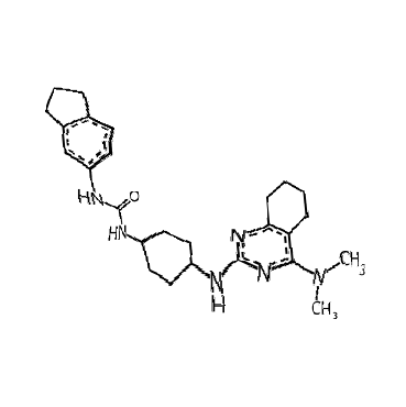 CN(C)c1nc(NC2CCC(NC(=O)Nc3ccc4c(c3)CCC4)CC2)nc2c1CCCC2